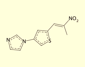 CC(=Cc1cc(-n2ccnc2)cs1)[N+](=O)[O-]